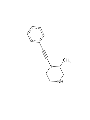 CC1CNCCN1C#Cc1ccccc1